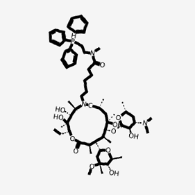 CC[C@H]1OC(=O)[C@H](C)C([C@H]2C[C@@](C)(OC)[C@@H](O)[C@H](C)O2)[C@H](C)[C@@H](O[C@@H]2O[C@H](C)C[C@H](N(C)C)[C@H]2O)[C@](C)(O)C[C@@H](C)CN(CCCCCC(=O)N(C)CC[PH](c2ccccc2)(c2ccccc2)c2ccccc2)[C@H](C)[C@@H](O)[C@]1(C)O